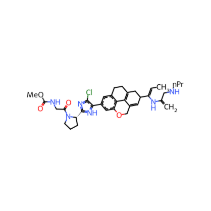 C=C(CNCCC)N/C(=C\C)C1C=C2COc3cc(-c4[nH]c([C@@H]5CCCN5C(=O)CNC(=O)OC)nc4Cl)cc4c3C2=C(CC4)C1